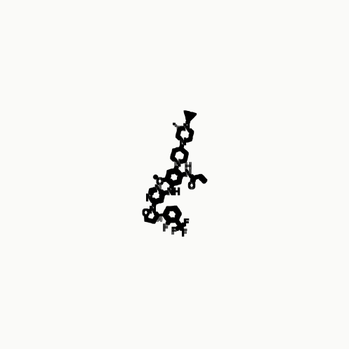 C=CC(=O)Nc1cc(Nc2cc(N3OCC[C@@H]3c3cccc(C(F)(F)F)c3F)ncn2)c(OC)cc1N1CCC(N2CCN(C3CC3)[C@@H](C)C2)CC1